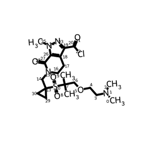 CN(C)CCOCC(C)(C)S(=O)(=O)C1(CN2CCc3c(C(=O)Cl)nn(C)c3C2=O)CC1